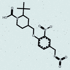 CC(C)(C)C1CC(COc2ccc(CN=S(=O)=O)cc2[N+](=O)[O-])CCN1C(=O)O